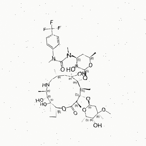 CC[C@H]1OC(=O)[C@H](C)[C@@H](O[C@H]2C[C@@](C)(OC)[C@H](O)[C@H](C)O2)[C@H](C)[C@@H](O[C@@H]2O[C@H](C)C[C@H](N(C)C(=O)N(C)c3ccc(C(F)(F)F)cc3)[C@H]2O)[C@](C)(O)C[C@@H](C)CN[C@H](C)[C@@H](O)[C@]1(C)O